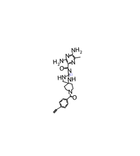 C#Cc1ccc(C(=O)N2CCC3(CC2)CN/C(=N\C(=O)c2nc(C)c(N)nc2N)N3)cc1